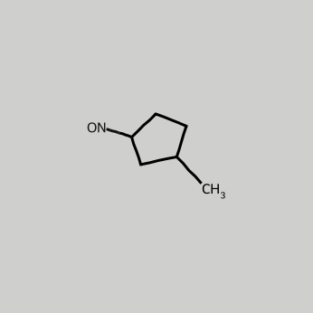 CC1CCC(N=O)C1